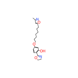 Cc1cc(CCCCCCCOc2ccc(C3=NCCO3)c(O)c2)on1